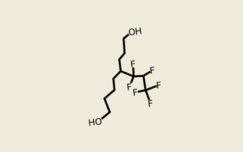 OCCCCC(CCCO)C(F)(F)C(F)C(F)(F)F